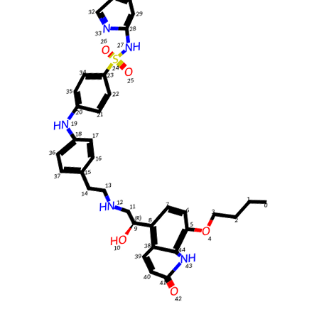 CCCCOc1ccc([C@@H](O)CNCCc2ccc(Nc3ccc(S(=O)(=O)Nc4ccccn4)cc3)cc2)c2ccc(=O)[nH]c12